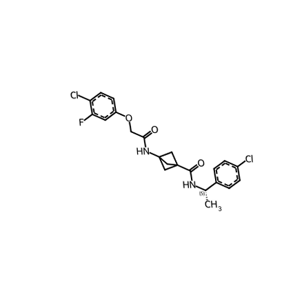 C[C@H](NC(=O)C12CC(NC(=O)COc3ccc(Cl)c(F)c3)(C1)C2)c1ccc(Cl)cc1